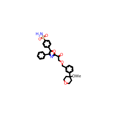 COC1(c2cccc(COCC(=O)c3nc(-c4ccccc4)c(-c4ccc(S(N)(=O)=O)cc4)o3)c2)CCOCC1